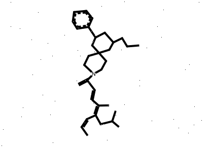 C=C(/C=C/C(C)=C(\C=C/C)CC(C)C)N1CCC2(CC1)CC(CCC)CC(c1ccccc1)C2